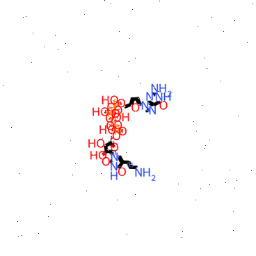 NC/C=C/c1cn([C@H]2O[C@@H](COP(=O)(O)OP(=O)(O)OP(=O)(O)OP(=O)(O)OCc3ccc(-n4cnc5c(=O)[nH]c(N)nc54)o3)C(O)C2O)c(=O)[nH]c1=O